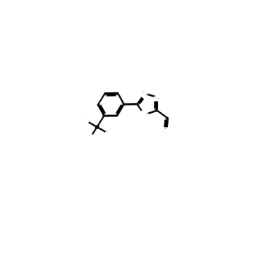 O=Cc1nnc(-c2cccc(C(F)(F)F)c2)o1